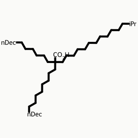 CCCCCCCCCCCCCCCCCCC(CCCCCCCCCCCCCCCC)(CCCCCCCCCCCCC(C)C)C(=O)O